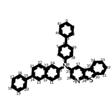 c1ccc(-c2ccc(N(c3ccc4cc(-c5ccccc5)ccc4c3)c3cnc4sc5ccccc5c4c3)cc2)cc1